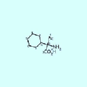 CC(=O)C(N)(C(=O)O)C1CCCCC1